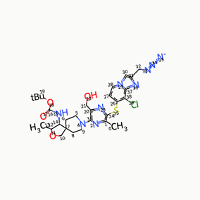 Cc1nc(N2CCC3(CC2)CO[C@@H](C)[C@H]3NC(=O)OC(C)(C)C)c(CO)nc1Sc1ccn2cc(CN=[N+]=[N-])nc2c1Cl